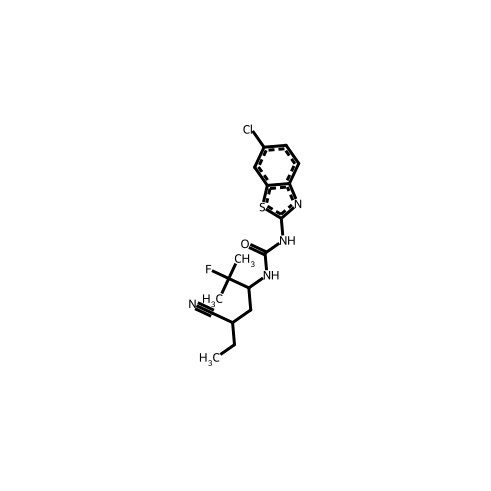 CCC(C#N)CC(NC(=O)Nc1nc2ccc(Cl)cc2s1)C(C)(C)F